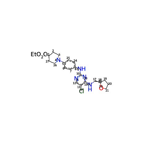 CCOC(=O)C1CCN(c2ccc(Nc3ncc(Cl)c(NC[C@H]4CCCO4)n3)cc2)CC1